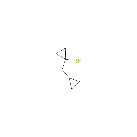 SC1(CC2CC2)CC1